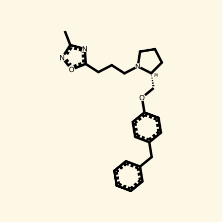 Cc1noc(CCCN2CCC[C@@H]2COc2ccc(Cc3ccccc3)cc2)n1